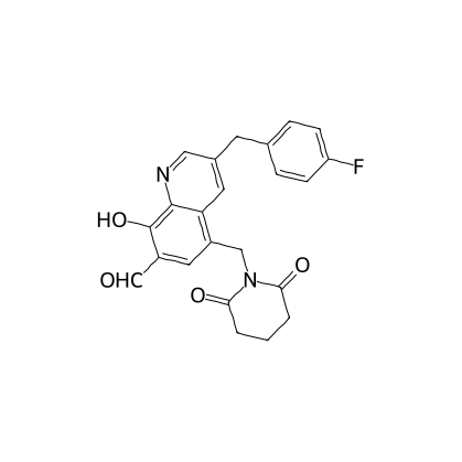 O=Cc1cc(CN2C(=O)CCCC2=O)c2cc(Cc3ccc(F)cc3)cnc2c1O